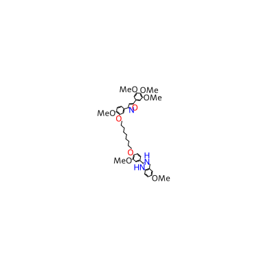 COc1ccc2c(c1)CNC(c1ccc(OCCCCCCCCCOc3cc(-c4cc(-c5cc(OC)c(OC)c(OC)c5)on4)ccc3OC)c(OC)c1)N2